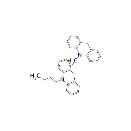 CCCCN1c2ccccc2Cc2ccccc21.CN1c2ccccc2Cc2ccccc21